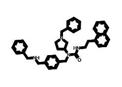 O=C(NCCc1cccc2ccccc12)N(Cc1ccc(CNCc2ccccc2)cc1)C1CCN(Cc2ccccc2)C1